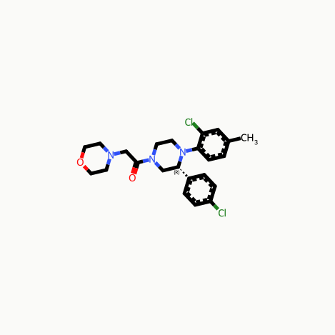 Cc1ccc(N2CCN(C(=O)CN3CCOCC3)C[C@H]2c2ccc(Cl)cc2)c(Cl)c1